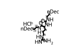 CCCCCCCCCCCCNC(=O)NC(CCCNC(=N)N)C(=O)NCCCCCCCCCCCC.Cl